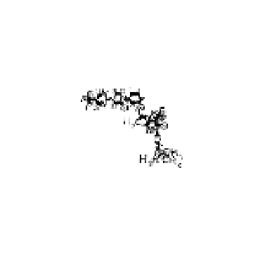 CC(COc1cccc(N2CCN(c3ncc(C(F)(F)F)cn3)CC2=O)c1)Nc1cnn(COCC[Si](C)(C)C)c(=O)c1C(F)(F)F